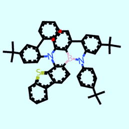 Cc1cc2c3c(c1)N(c1ccc(C(C)(C)C)cc1-c1ccccc1)c1c(ccc4c1sc1ccccc14)B3N(c1ccc(C(C)(C)C)cc1)c1cc(C(C)(C)C)ccc1-2